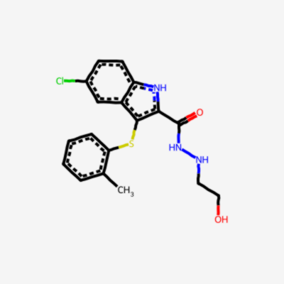 Cc1ccccc1Sc1c(C(=O)NNCCO)[nH]c2ccc(Cl)cc12